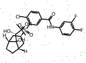 CC(C)(O)[C@@H](O)[C@@]1(O)[C@@H]2CC[C@H]1C[C@H](S(=O)(=O)c1cc(C(=O)Nc3ccc(F)c(F)c3)ccc1Cl)C2